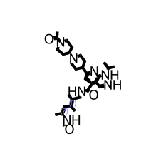 CC(=O)N1CCC(N2CCC(c3cc(C(=O)NC/C(C)=C(C)/C=C(/C)NC=O)c(C=N)c(NC(C)C)n3)CC2)CC1